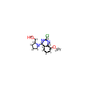 CC(C)Oc1cccc2c(N3CCCC3CO)nc(Cl)nc12